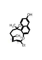 CC/C1=C\C=C(/C)CCC(C)(C)c2c(ccc3cc(O)ccc23)O1